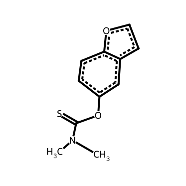 CN(C)C(=S)Oc1ccc2occc2c1